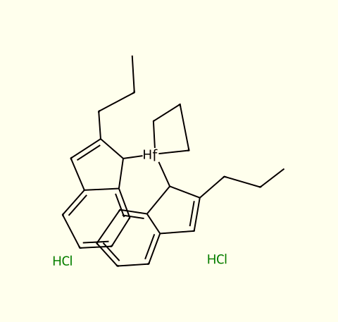 CCCC1=Cc2ccccc2[CH]1[Hf]1([CH]2C(CCC)=Cc3ccccc32)[CH2]C[CH2]1.Cl.Cl